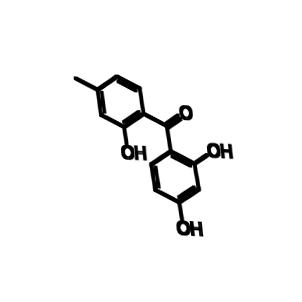 Cc1ccc(C(=O)c2ccc(O)cc2O)c(O)c1